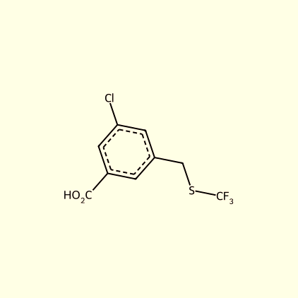 O=C(O)c1cc(Cl)cc(CSC(F)(F)F)c1